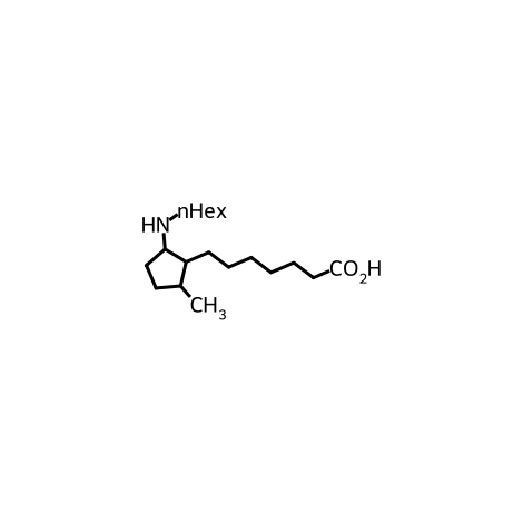 CCCCCCNC1CCC(C)C1CCCCCCC(=O)O